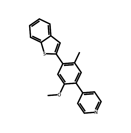 COc1cc(-c2cc3ccccc3s2)c(C)cc1-c1ccncc1